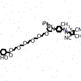 CCN(CC(COC(C)C)OCCOCCOCCOCCOCCOC(=O)C1CCCCC1C=O)c1ccc(/N=N/c2sc(C#N)c(C)c2C#N)c(C)c1